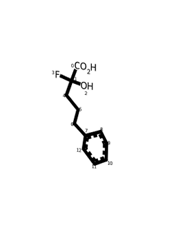 O=C(O)C(O)(F)CCCc1ccccc1